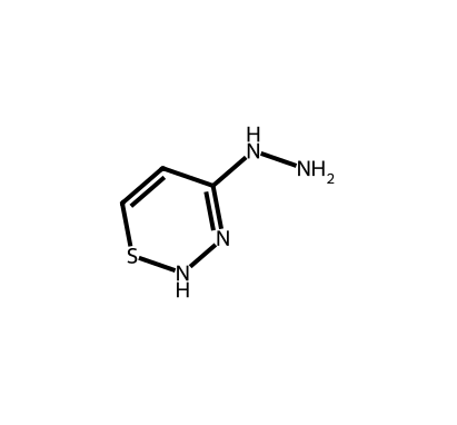 NNC1=NNSC=C1